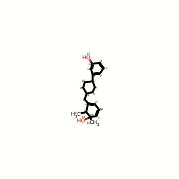 CC1C(CC2CCC(c3cccc(O)c3)CC2)=CC=CC1(C)O